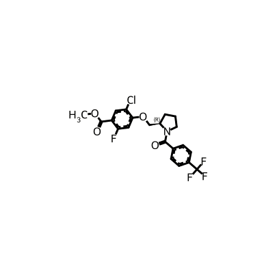 COC(=O)c1cc(Cl)c(OC[C@H]2CCCN2C(=O)c2ccc(C(F)(F)F)cc2)cc1F